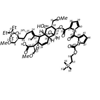 CC[Si](CC)(CC)O[C@H](COC)[C@H]1OC(=O)[C@H](COC)[C@H]2C=C[C@H]3[C@H]4O[C@]2(/C(C)=C/[C@H]1C)[C@@H]3[C@H](O)[C@@H](COC)[C@H]4OC(=O)c1cccn1C(=O)c1cccn1C(=O)OCC[Si](C)(C)C